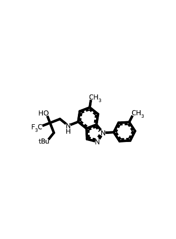 Cc1cccc(-n2ncc3c(NCC(O)(CC(C)(C)C)C(F)(F)F)cc(C)cc32)c1